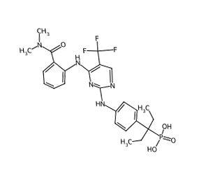 CCC(CC)(c1ccc(Nc2ncc(C(F)(F)F)c(Nc3ccccc3C(=O)N(C)C)n2)cc1)P(=O)(O)O